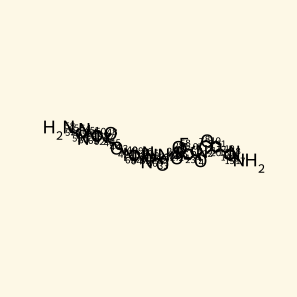 Cc1c(C(=O)N2CCOc3ccc(-c4ccc(N)nc4)cc3C2)ccc(S(=O)(=O)CCNC(=O)c2cnc(N3CCN(CCOCCC(=O)N4CCN(c5ncc(CN)cn5)CC4)CC3)nc2)c1F